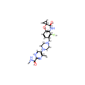 CNC(=O)c1ncc(N2CCN(Cc3ccc4c(c3F)NC(=O)C3(CC3)O4)CC2)c(C)n1